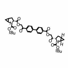 CC(C)(C)OC(=O)N1C2CC2C[C@H]1C(=O)OCC(=O)c1ccc(-c2ccc(C(=O)OCC(=O)[C@@H]3C[C@@H]4C[C@@H]4N3C(=O)OC(C)(C)C)cc2)cc1